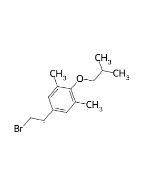 Cc1cc([CH]CBr)cc(C)c1OCC(C)C